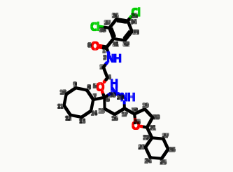 O=C(NCCOC1(C2CCCCCCC2)CCC(C2CCC(C3CCCCC3)O2)NN1)c1ccc(Cl)cc1Cl